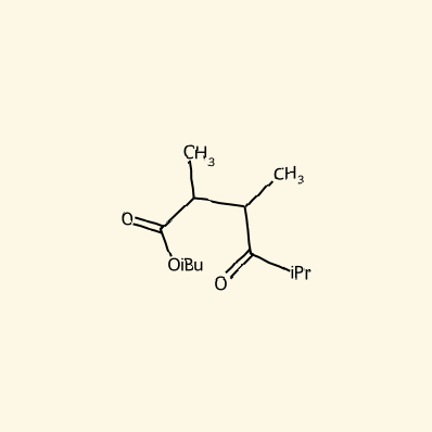 CC(C)COC(=O)C(C)C(C)C(=O)C(C)C